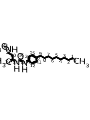 CCCCCCCCCCc1ccc(NC(=O)N[C@H](C)CCNC)cc1